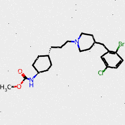 COC(=O)N[C@H]1CC[C@H](CCCN2CCC(Cc3cc(Cl)ccc3Br)CC2)CC1